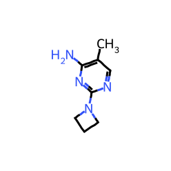 Cc1cnc(N2CCC2)nc1N